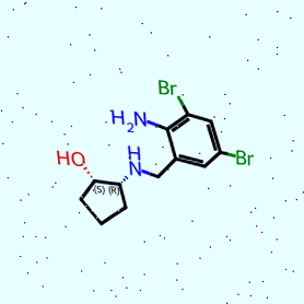 Nc1c(Br)cc(Br)cc1CN[C@@H]1CCC[C@@H]1O